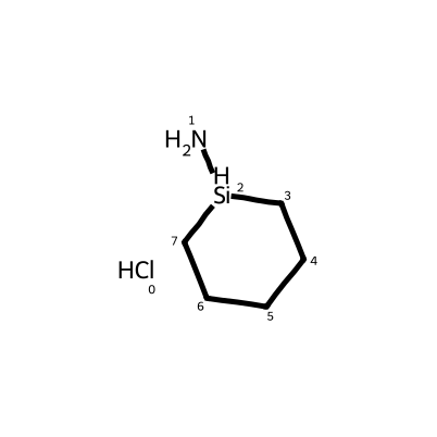 Cl.N[SiH]1CCCCC1